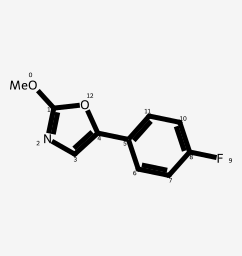 COc1ncc(-c2ccc(F)cc2)o1